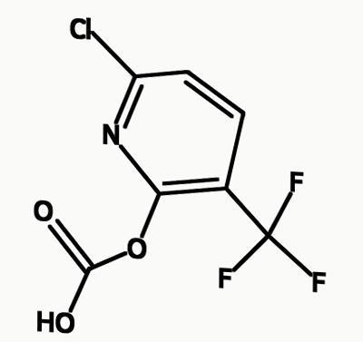 O=C(O)Oc1nc(Cl)ccc1C(F)(F)F